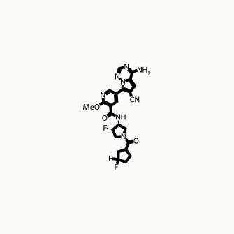 COc1ncc(-c2c(C#N)cc3c(N)ncnn23)cc1C(=O)N[C@@H]1CN(C(=O)C2CCC(F)(F)C2)C[C@@H]1F